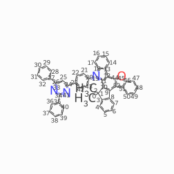 CC1(C)c2ccccc2-c2c1c1c(c3ccccc3n1-c1ccc(-c3cc(-c4ccccc4)nc(-c4ccccc4)n3)cc1)c1oc3ccccc3c21